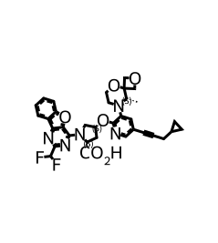 C[C@@H]1N(c2cc(C#CCC3CC3)cnc2O[C@H]2C[C@@H](C(=O)O)N(c3nc(C(F)F)nc4c3oc3ccccc34)C2)CCOC12COC2